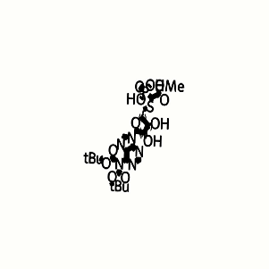 COC(=O)C(SC[C@H]1O[C@@H](n2cnc3c(N(C(=O)OC(C)(C)C)C(=O)OC(C)(C)C)ncnc32)[C@H](O)[C@@H]1O)P(=O)(O)O